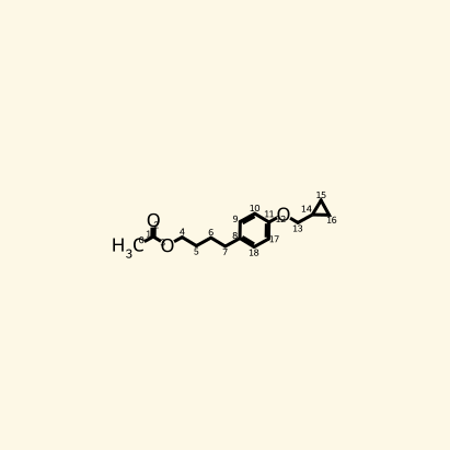 CC(=O)OCCCCc1ccc(OCC2CC2)cc1